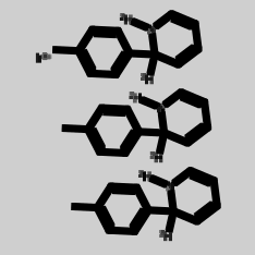 [2H]N1C=CC=CC1([2H])c1ccc(C)cc1.[2H]N1C=CC=CC1([2H])c1ccc(C)cc1.[2H]N1C=CC=CC1([2H])c1ccc(C)cc1.[Ir+3]